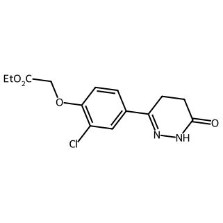 CCOC(=O)COc1ccc(C2=NNC(=O)CC2)cc1Cl